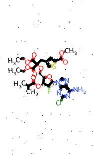 CCOC(=O)C(Cc1csc(C(=O)OC)c1)(OC[C@H]1O[C@@H](n2cnc3c(N)nc(Cl)nc32)[C@@H](F)[C@@H]1OC(=O)C(C)C)C(=O)OCC